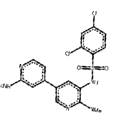 CNc1ncc(-c2ccnc(NC(C)=O)c2)cc1NS(=O)(=O)c1ccc(Cl)cc1Cl